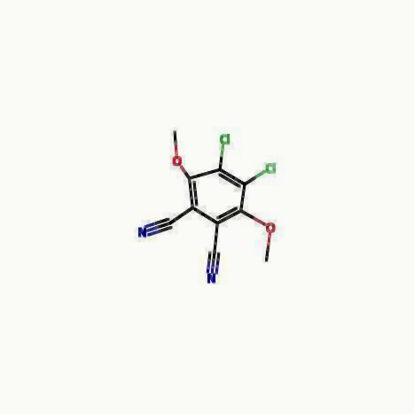 COc1c(Cl)c(Cl)c(OC)c(C#N)c1C#N